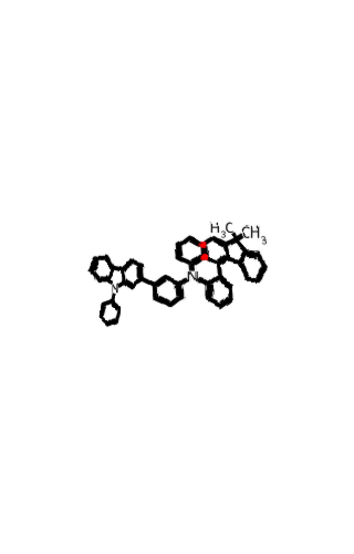 CC1(C)c2ccccc2-c2c(-c3ccccc3N(c3ccccc3)c3cccc(-c4ccc5c6ccccc6n(-c6ccccc6)c5c4)c3)cccc21